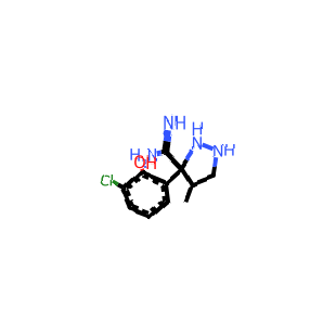 CC1CNNC1(C(=N)N)c1cccc(Cl)c1O